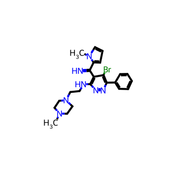 CN1CCN(CCNc2nnc(-c3ccccc3)c(Br)c2C(=N)c2cccn2C)CC1